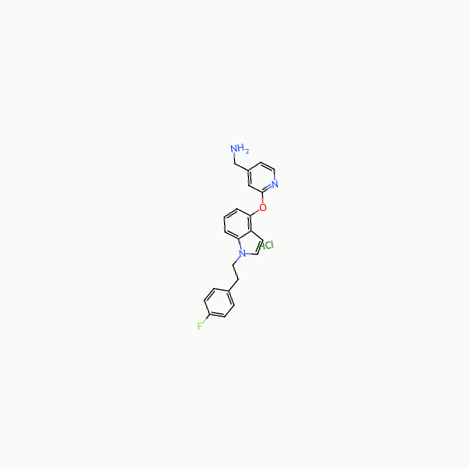 Cl.NCc1ccnc(Oc2cccc3c2ccn3CCc2ccc(F)cc2)c1